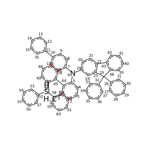 Cc1cccc(N(c2ccc(-c3ccccc3)cc2)c2ccc3c(c2)C(c2ccccc2)(c2ccccc2)c2ccccc2-3)c1-c1ccccc1[SiH](c1ccccc1)c1ccccc1